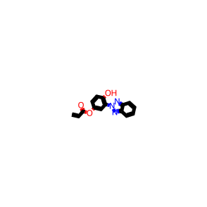 C=CC(=O)Oc1ccc(O)c(-n2nc3ccccc3n2)c1